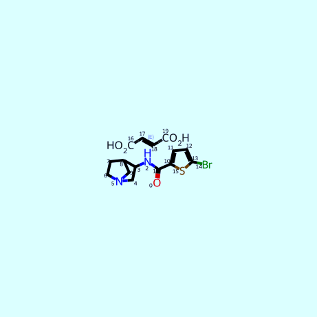 O=C(NC1CN2CCC1C2)c1ccc(Br)s1.O=C(O)/C=C/C(=O)O